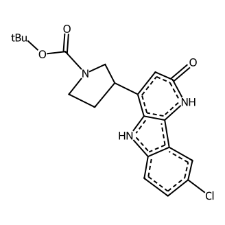 CC(C)(C)OC(=O)N1CCC(c2cc(=O)[nH]c3c2[nH]c2ccc(Cl)cc23)C1